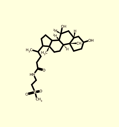 [2H][C@]12C3CCC(C(C)CCC(=O)NCCS(C)(=O)=O)[C@@]3(C)CC[C@@H]1[C@@]1(C)CCC(O)C[C@H]1C[C@@]2([2H])O